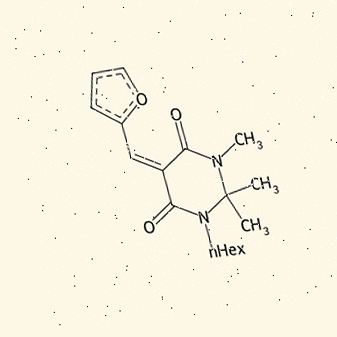 CCCCCCN1C(=O)/C(=C/c2ccco2)C(=O)N(C)C1(C)C